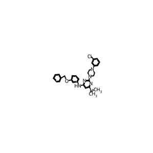 CN(C)c1cc(Nc2cccc(OCc3ccccc3)c2)nc(N2CCN(c3cccc(Cl)c3)CC2)n1